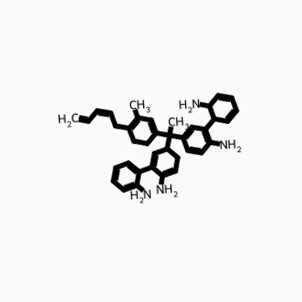 C=C/C=C\CC1=C(C)C=C(C(C)(c2ccc(N)c(C3C=CC=CC3N)c2)C2C=C(c3ccccc3N)C(N)=CC2)CC1